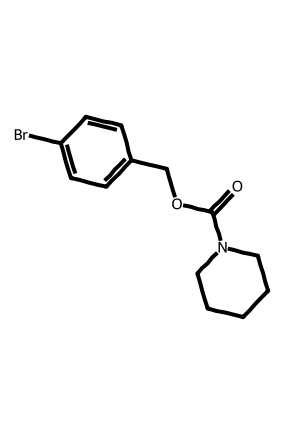 O=C(OCc1ccc(Br)cc1)N1CCCCC1